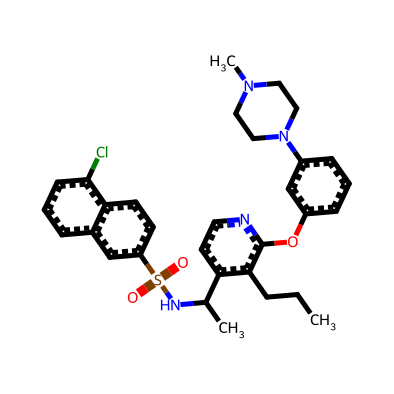 CCCc1c(C(C)NS(=O)(=O)c2ccc3c(Cl)cccc3c2)ccnc1Oc1cccc(N2CCN(C)CC2)c1